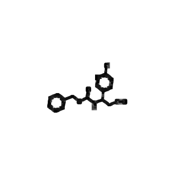 O=CCC(NC(=O)OCc1ccccc1)c1ccc(Cl)nc1